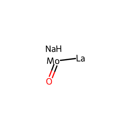 [NaH].[O]=[Mo][La]